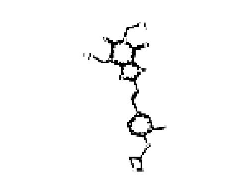 CCn1c(=O)c2[nH]c(C=Cc3ccc(OC4COC4)c(F)c3)nc2n(CC)c1=O